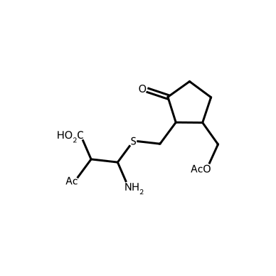 CC(=O)OCC1CCC(=O)C1CSC(N)C(C(C)=O)C(=O)O